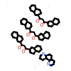 O=C(CC(=O)c1ccc2ccccc2c1)c1ccc2ccccc2c1.O=C(CC(=O)c1ccc2ccccc2c1)c1ccc2ccccc2c1.O=C(CC(=O)c1ccc2ccccc2c1)c1ccc2ccccc2c1.c1cnc2c(c1)ccc1ncccc12